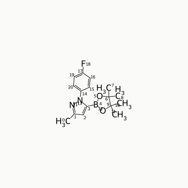 Cc1cc(B2OC(C)(C)C(C)(C)O2)n(-c2ccc(F)cc2)n1